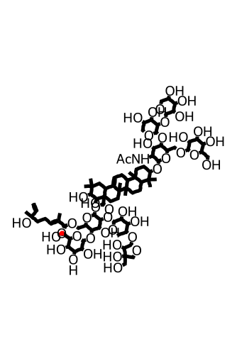 C=CC(C)(O)CC/C=C(\C)C(=O)OCC1OC(OC(=O)C23CCC4(C)C(=CCC5C6(C)CCC(OC7OC(COC8OC(CO)C(O)C(O)C8O)C(OC8OCC(O)C(O)C8OC8OCC(O)C(O)C8O)C(O)C7NC(C)=O)C(C)(C)C6CCC54C)C2CC(C)(C)C(O)C3O)C(OC2OCC(OC3OCC(O)(CO)C3O)C(O)C2O)C(O)C1OC1OC(CO)C(O)C(O)C1O